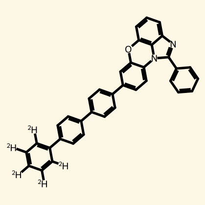 [2H]c1c([2H])c([2H])c(-c2ccc(-c3ccc(-c4ccc5c(c4)Oc4cccc6nc(-c7ccccc7)n-5c46)cc3)cc2)c([2H])c1[2H]